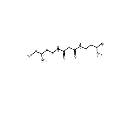 CCC(N)CCNC(=O)CC(=O)NCCC(N)CN